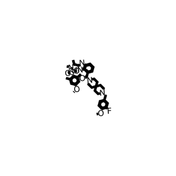 COc1cc(C)c(S(=O)(=O)N(C)C(C)c2nc3cccc(C(=O)N4CCC5(CCN(Cc6ccc(OC)c(F)c6)CC5)CC4)c3[nH]2)c(C)c1